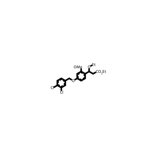 CCOC(=O)CC(OCC)c1ccc(OCc2ccc(Cl)c(Cl)c2)cc1OC